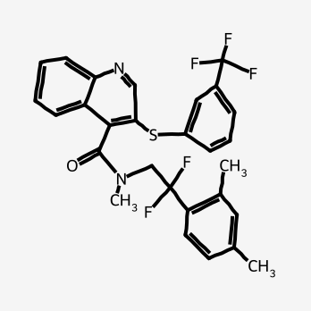 Cc1ccc(C(F)(F)CN(C)C(=O)c2c(Sc3cccc(C(F)(F)F)c3)cnc3ccccc23)c(C)c1